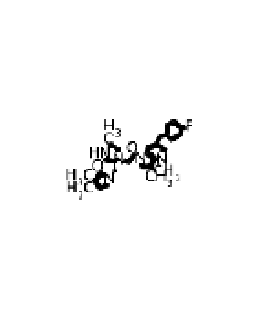 C[C@@H]1CN(CC(=O)N2CC(C)(C)c3ncc(Cc4ccc(F)cc4)cc32)[C@@H](CN2CCC(C)(C)C2=O)CN1